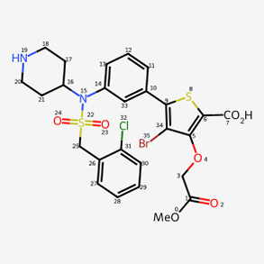 COC(=O)COc1c(C(=O)O)sc(-c2cccc(N(C3CCNCC3)S(=O)(=O)Cc3ccccc3Cl)c2)c1Br